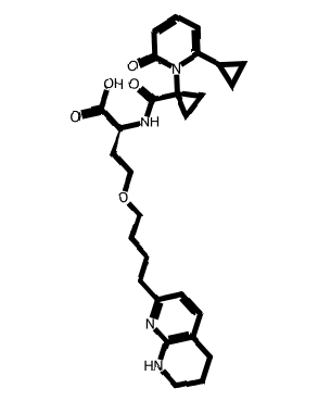 O=C(O)[C@H](CCOCCCCc1ccc2c(n1)NCCC2)NC(=O)C1(n2c(C3CC3)cccc2=O)CC1